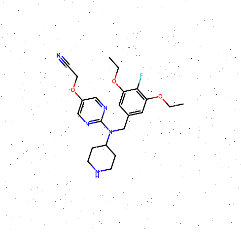 CCOc1cc(CN(c2ncc(OCC#N)cn2)C2CCNCC2)cc(OCC)c1F